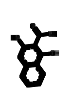 O=C(O)c1c(O)cc2ccccc2c1O